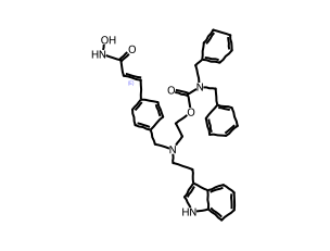 O=C(/C=C/c1ccc(CN(CCOC(=O)N(Cc2ccccc2)Cc2ccccc2)CCc2c[nH]c3ccccc23)cc1)NO